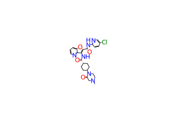 CN1CCN([C@H]2CC[C@H](C(=O)Nc3c(C(=O)Nc4ccc(Cl)cn4)oc4cccnc34)CC2)C(=O)C1